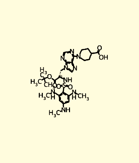 CNc1cc(NC)c(S(=O)(=O)N[C@@H](Cn2cnc3c(N4CCC(C(=O)O)CC4)ncnc32)C(=O)OC(C)(C)C)c(NC)c1